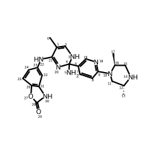 CC1=CNC(N)(c2ccc(N3C[C@@H](C)NC[C@@H]3C)nc2)N=C1Nc1ccc2oc(=O)[nH]c2c1